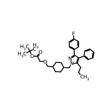 CCCc1c(-c2ccccc2)c(-c2ccc(F)cc2)nn1CC1CCC(COCC(=O)OC(C)(C)C)CC1